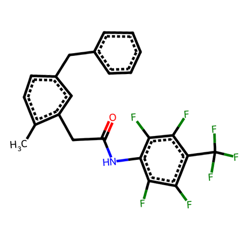 Cc1ccc(Cc2ccccc2)cc1CC(=O)Nc1c(F)c(F)c(C(F)(F)F)c(F)c1F